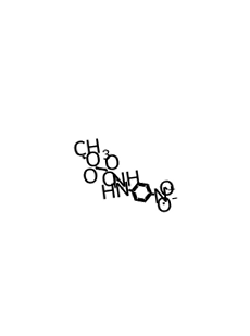 CCOC(=O)C(=O)ONNc1ccc([N+](=O)[O-])cc1